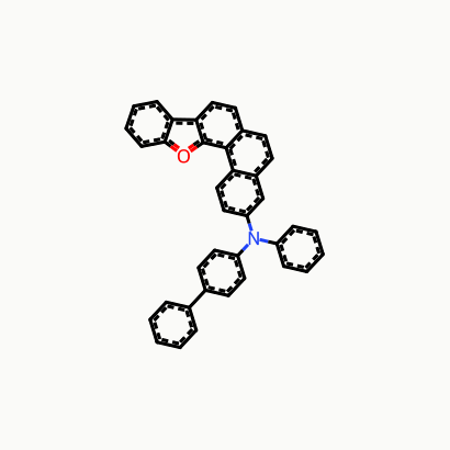 c1ccc(-c2ccc(N(c3ccccc3)c3ccc4c(ccc5ccc6c7ccccc7oc6c54)c3)cc2)cc1